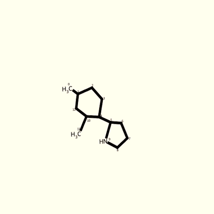 CC1CCC(C2CCCN2)C(C)C1